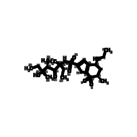 CCN[C@H]1C[C@H](C)S(=O)(=O)c2sc(S(=O)(=O)NC(C)(CC)C(=O)[C@H](C)C(C)(O)CC)cc21